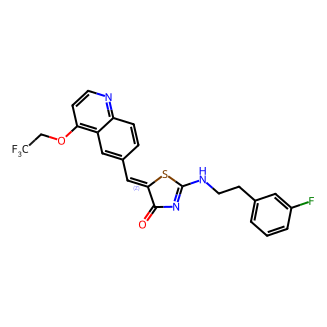 O=C1N=C(NCCc2cccc(F)c2)S/C1=C\c1ccc2nccc(OCC(F)(F)F)c2c1